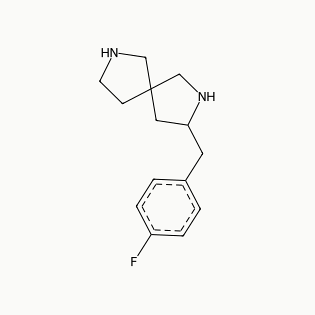 Fc1ccc(CC2CC3(CCNC3)CN2)cc1